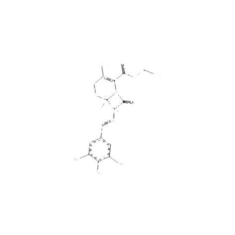 CC1=C(C(=O)OCC(Cl)(Cl)Cl)N2C(=O)[C@@H](N=Cc3cc(C(C)(C)C)c(O)c(C(C)(C)C)c3)[C@@H]2SC1